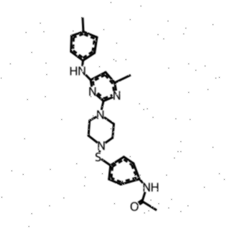 CC(=O)Nc1ccc(SN2CCN(c3nc(C)cc(Nc4ccc(C)cc4)n3)CC2)cc1